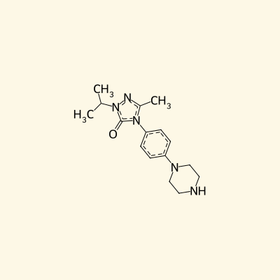 Cc1nn(C(C)C)c(=O)n1-c1ccc(N2CCNCC2)cc1